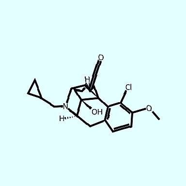 COc1ccc2c(c1Cl)[C@]13CCN(CC4CC4)[C@H](C2)[C@]1(O)CCNC(=O)C3